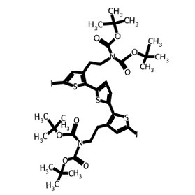 CC(C)(C)OC(=O)N(CCc1cc(I)sc1-c1ccc(-c2sc(I)cc2CCN(C(=O)OC(C)(C)C)C(=O)OC(C)(C)C)s1)C(=O)OC(C)(C)C